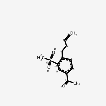 C=CCCc1ccc(C(=O)Cl)cc1S(C)(=O)=O